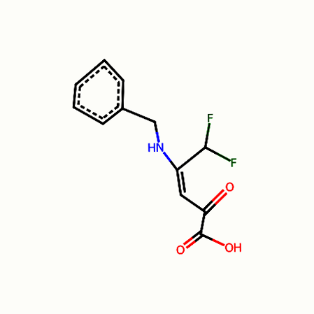 O=C(O)C(=O)C=C(NCc1ccccc1)C(F)F